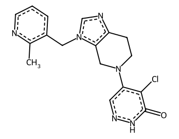 Cc1ncccc1Cn1cnc2c1CN(c1cn[nH]c(=O)c1Cl)CC2